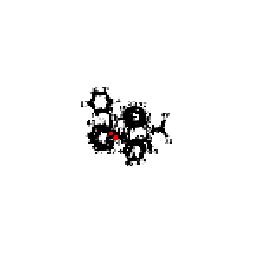 CC(C)N(C(C)C)[C]12[CH]3[CH]4[CH]5[C]1(P(c1ccccc1)c1ccccc1)[Fe]43521678[CH]2[CH]1[C]6(N(C(C)C)C(C)C)[C@]7(P(c1ccccc1)c1ccccc1)[CH]28